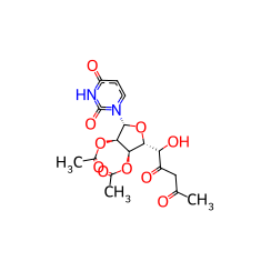 CC(=O)CC(=O)C(O)[C@H]1O[C@@H](n2ccc(=O)[nH]c2=O)[C@H](OC(C)=O)[C@@H]1OC(C)=O